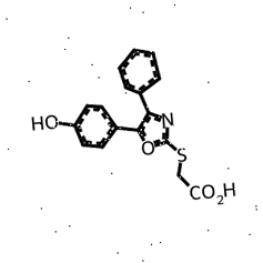 O=C(O)CSc1nc(-c2ccccc2)c(-c2ccc(O)cc2)o1